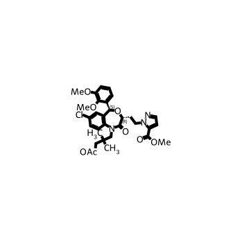 COC(=O)c1ccnn1CC[C@H]1O[C@H](c2cccc(OC)c2OC)c2cc(Cl)ccc2N(CC(C)(C)COC(C)=O)C1=O